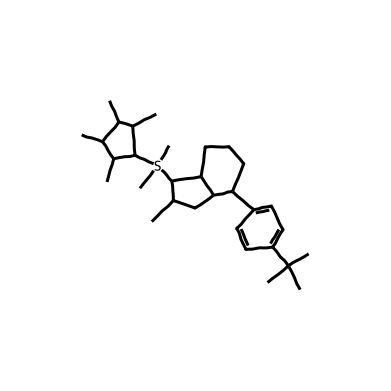 CC1CC2C(c3ccc(C(C)(C)C)cc3)CCCC2C1S(C)(C)C1C(C)C(C)C(C)C1C